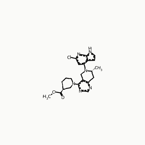 COC(=O)[C@H]1CCCN(c2ncnc3c2CN(c2cc(Cl)nc4[nH]ccc24)[C@H](C)C3)C1